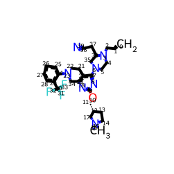 C=CCN1CCN(c2nc(OC[C@@H]3CCN(C)C3)nc3c2CCN(c2ccccc2C(F)(F)F)C3)CC1CC#N